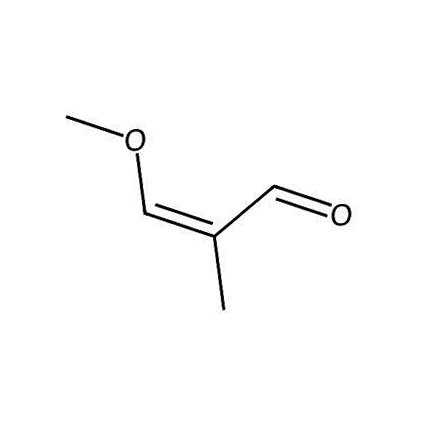 COC=C(C)C=O